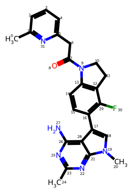 Cc1cccc(CC(=O)N2CCc3c2ccc(-c2cn(C)c4nc(C)nc(N)c24)c3F)n1